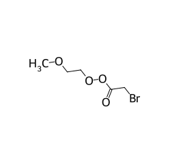 COCCOOC(=O)CBr